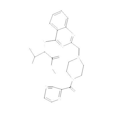 COC(=O)[C@@H](Nc1nc(CN2CCN(C(=O)c3cnccn3)CC2)nc2ccccc12)C(C)C